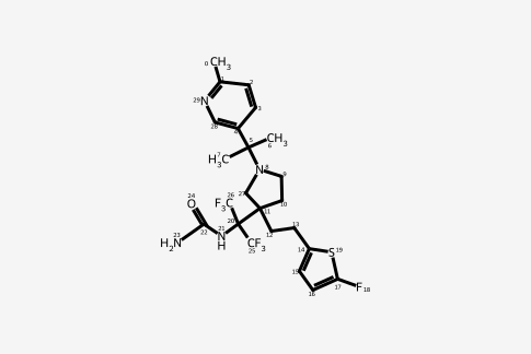 Cc1ccc(C(C)(C)N2CCC(CCc3ccc(F)s3)(C(NC(N)=O)(C(F)(F)F)C(F)(F)F)C2)cn1